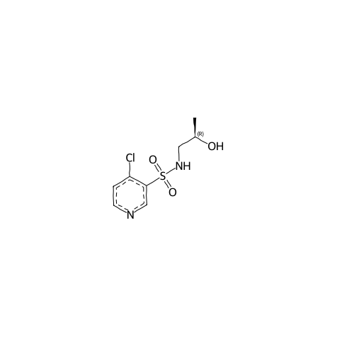 C[C@@H](O)CNS(=O)(=O)c1cnccc1Cl